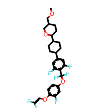 COCC1CCC(C2CCC(c3cc(F)c(C(F)(F)Oc4ccc(OC=C(F)F)c(F)c4)c(F)c3)CC2)OC1